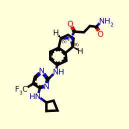 NC(=O)CCC(=O)N1[C@@H]2CC[C@H]1c1ccc(Nc3ncc(C(F)(F)F)c(NC4CCC4)n3)cc12